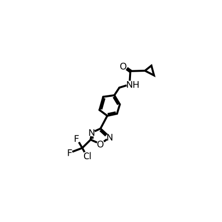 O=C(NCc1ccc(-c2noc(C(F)(F)Cl)n2)cc1)C1CC1